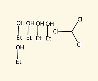 CCO.CCO.CCO.CCO.CCO.ClC(Cl)Cl